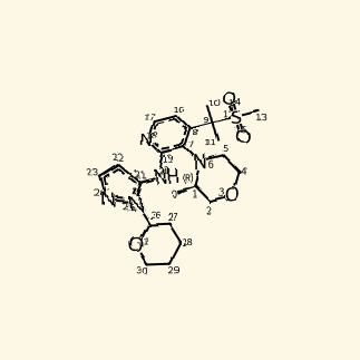 C[C@@H]1COCCN1c1c(C(C)(C)S(C)(=O)=O)ccnc1Nc1ccnn1C1CCCCO1